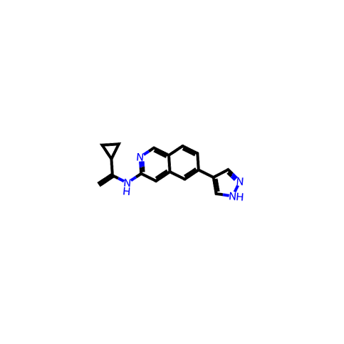 C=C(Nc1cc2cc(-c3cn[nH]c3)ccc2cn1)C1CC1